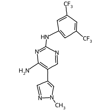 Cn1cc(-c2cnc(Nc3cc(C(F)(F)F)cc(C(F)(F)F)c3)nc2N)cn1